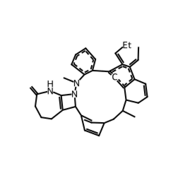 C=C1CCCC2=C(N1)N1C2C2=CC(C=C2)CC(C)C2CC=Cc3c2cc(c(=C/CC)/c3=C\C)-c2ccccc2N1C